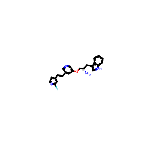 N[C@H](COc1cncc(C=Cc2ccnc(F)c2)c1)Cc1c[nH]c2ccccc12